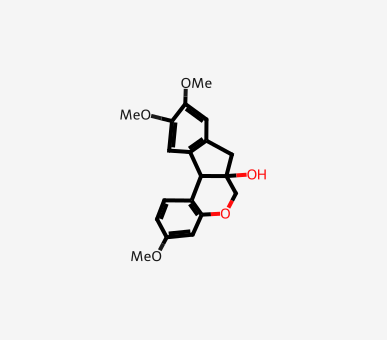 COc1ccc2c(c1)OCC1(O)Cc3cc(OC)c(OC)cc3C21